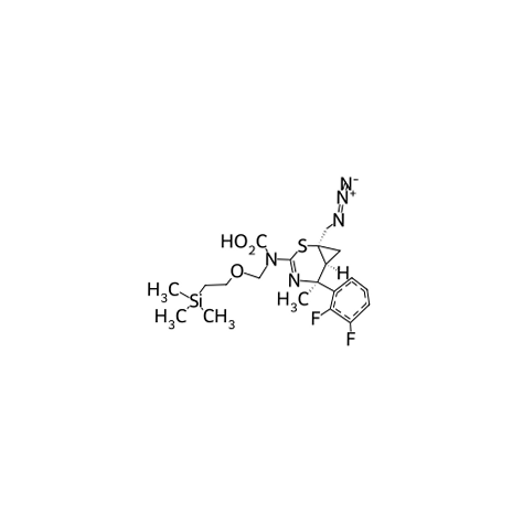 C[C@]1(c2cccc(F)c2F)N=C(N(COCC[Si](C)(C)C)C(=O)O)S[C@@]2(CN=[N+]=[N-])C[C@H]21